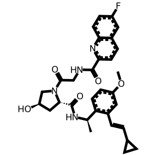 COc1ccc([C@@H](C)NC(=O)[C@@H]2C[C@@H](O)CN2C(=O)CNC(=O)c2ccc3cc(F)ccc3n2)c(/C=C/C2CC2)c1